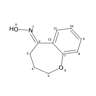 ON=C1CCCOc2ccccc21